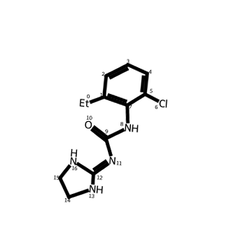 CCc1cccc(Cl)c1NC(=O)N=C1NCCN1